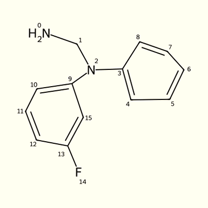 NCN(c1ccccc1)c1cccc(F)c1